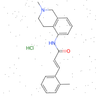 Cc1ccccc1/C=C/C(=O)Nc1cccc2c1CCN(C)C2.Cl